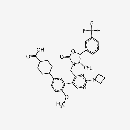 COc1ccc(C2CCC(C(=O)O)CC2)cc1-c1cnc(N2CCC2)nc1CN1C(=O)OC(c2cccc(C(F)(F)F)c2)C1C